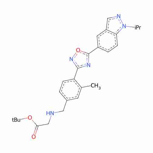 Cc1cc(CNCC(=O)OC(C)(C)C)ccc1-c1noc(-c2ccc3c(cnn3C(C)C)c2)n1